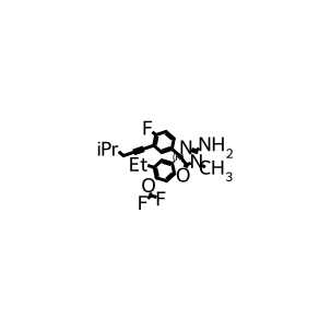 CCc1cc([C@]2(c3ccc(F)c(C#CCC(C)C)c3)N=C(N)N(C)C2=O)ccc1OC(F)F